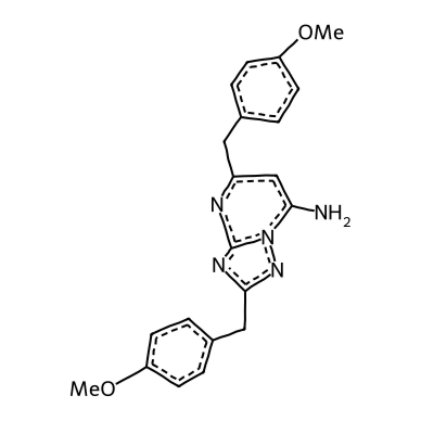 COc1ccc(Cc2cc(N)n3nc(Cc4ccc(OC)cc4)nc3n2)cc1